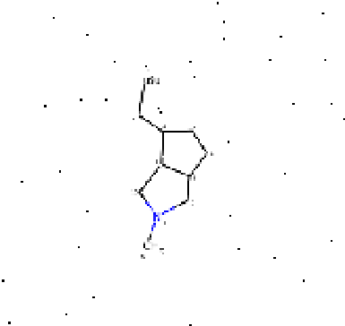 CN1CC2CCC(CC(C)(C)C)C2C1